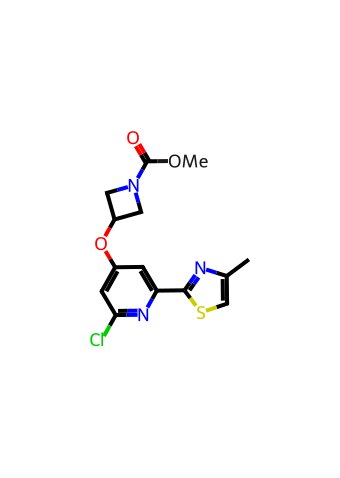 COC(=O)N1CC(Oc2cc(Cl)nc(-c3nc(C)cs3)c2)C1